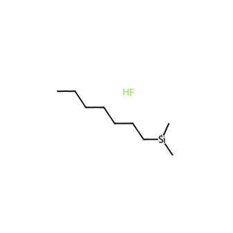 CCCCCCC[Si](C)C.F